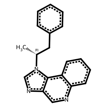 C[C@H](Cc1ccccc1)n1cnc2cnc3ccccc3c21